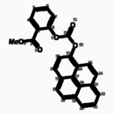 COC(=O)c1ccccc1OC(=O)Oc1ccc2ccc3cccc4ccc1c2c34